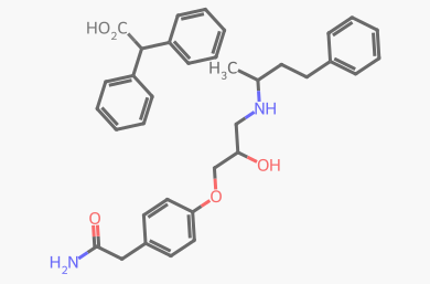 CC(CCc1ccccc1)NCC(O)COc1ccc(CC(N)=O)cc1.O=C(O)C(c1ccccc1)c1ccccc1